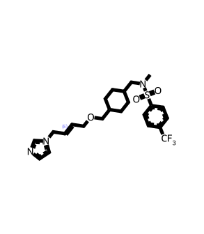 CN(CC1CCC(COC/C=C/Cn2ccnc2)CC1)S(=O)(=O)c1ccc(C(F)(F)F)cc1